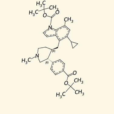 Cc1cc(C2CC2)c(C[C@@H]2CCN(C)C[C@H]2c2ccc(C(=O)OC(C)(C)C)cc2)c2ccn(C(=O)OC(C)(C)C)c12